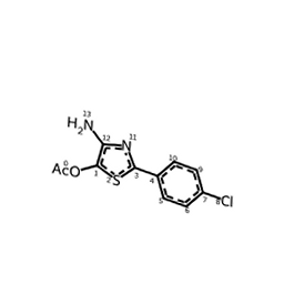 CC(=O)Oc1sc(-c2ccc(Cl)cc2)nc1N